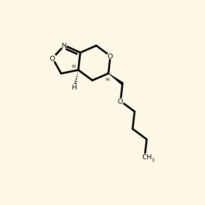 CCCCOC[C@H]1C[C@H]2CON=C2CO1